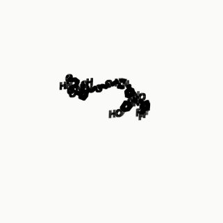 O=C1CCC(N2C(=O)c3cccc(NCCOCCOCCN4CCN(Cc5ccc6c(c5)nc(NC(=O)c5cccc(C(F)(F)F)c5)n6[C@H]5CC[C@@H](CO)CC5)CC4)c3C2=O)C(=O)N1